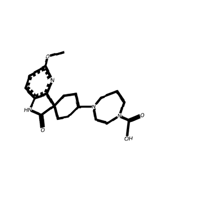 COc1ccc2c(n1)C1(CCC(N3CCCN(C(=O)O)CC3)CC1)C(=O)N2